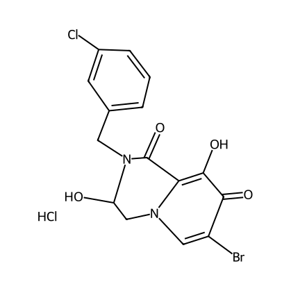 Cl.O=C1c2c(O)c(=O)c(Br)cn2CC(O)N1Cc1cccc(Cl)c1